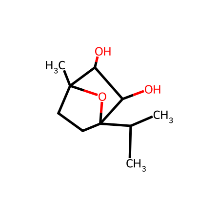 CC(C)C12CCC(C)(O1)C(O)C2O